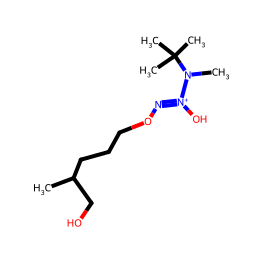 CC(CO)CCCO/N=[N+](\O)N(C)C(C)(C)C